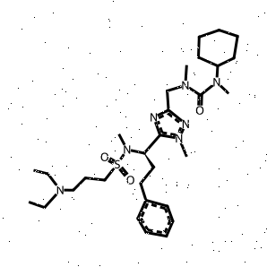 CCN(CC)CCCS(=O)(=O)N(C)[C@H](CCc1ccccc1)c1nc(CN(C)C(=O)N(C)C2CCCCC2)nn1C